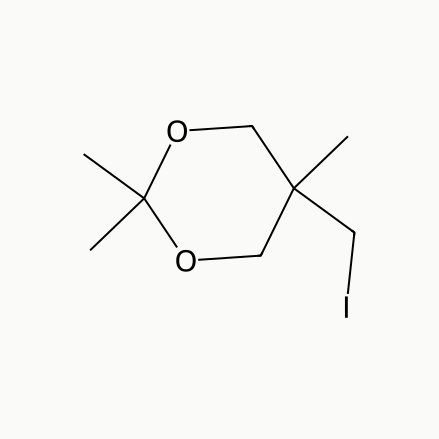 CC1(CI)COC(C)(C)OC1